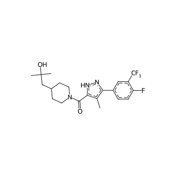 Cc1c(-c2ccc(F)c(C(F)(F)F)c2)n[nH]c1C(=O)N1CCC(CC(C)(C)O)CC1